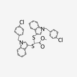 COC(=O)C(Sc1cn(Cc2ccc(Cl)cc2)c2ccccc12)Sc1cn(Cc2ccc(Cl)cc2)c2ccccc12